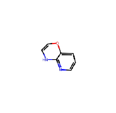 [C]1=COc2cccnc2N1